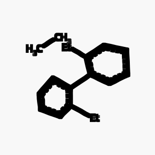 CC.CCc1ccccc1-c1ccccc1CC